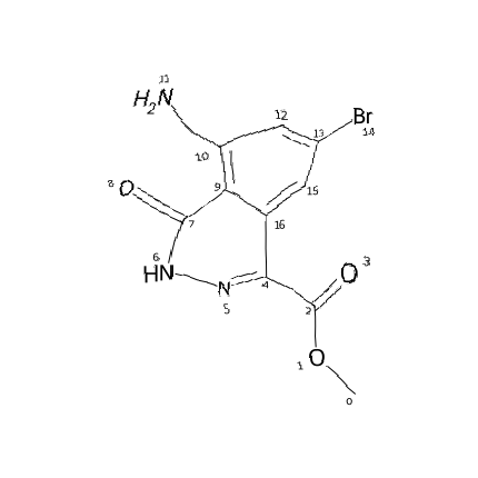 COC(=O)c1n[nH]c(=O)c2c(N)cc(Br)cc12